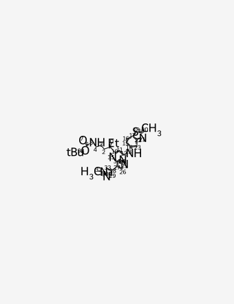 CCC(CCCNC(=O)OC(C)(C)C)c1cc(Nc2ccc3sc(C)nc3c2)n2ncc(-c3cnn(C)c3)c2n1